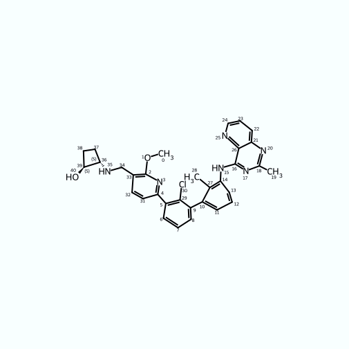 COc1nc(-c2cccc(-c3cccc(Nc4nc(C)nc5cccnc45)c3C)c2Cl)ccc1CN[C@H]1CC[C@@H]1O